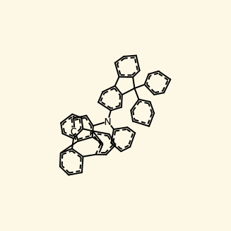 c1ccc(N(c2ccc3c(c2)C(c2ccccc2)(c2ccccc2)c2ccccc2-3)c2cccc3c2-c2c4cccc2-c2cccc-3c2-c2ccccc2-4)cc1